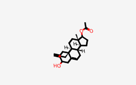 C#CC[C@]12CCC(O)CC1=CC[C@@H]1[C@@H]2CC[C@]2(C)C(OC(C)=O)CC[C@@H]12